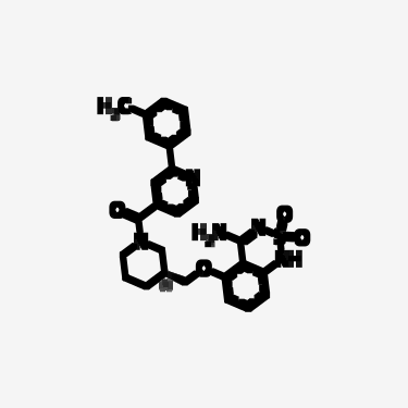 Cc1cccc(-c2cc(C(=O)N3CCC[C@H](COc4cccc5c4C(N)=NS(=O)(=O)N5)C3)ccn2)c1